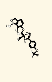 COc1c(OC[C@](C)(C#N)NC(=O)c2ccc(OC(F)(F)F)cc2)ccc2c1B(O)OC2